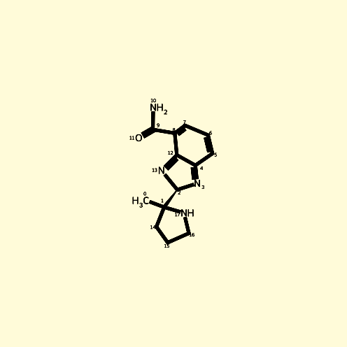 CC1([C@@H]2N=c3cccc(C(N)=O)c3=N2)CCCN1